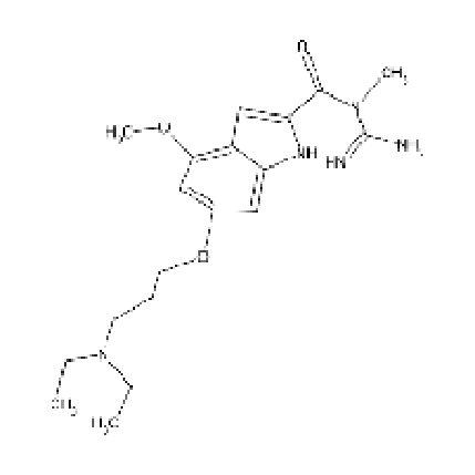 CCN(CC)CCCOc1cc(OC)c2cc(C(=O)N(C)C(=N)N)[nH]c2c1